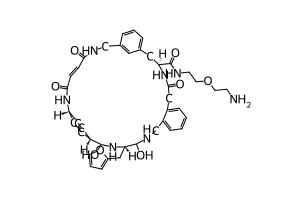 NCCOCCNC(=O)[C@@H]1Cc2cccc(c2)CNC(=O)/C=C/C(=O)N[C@H]2CC[C@H](CC2)C(O)N[C@@H](Cc2ccco2)C(O)NCc2ccccc2CC(=O)N1